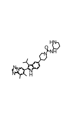 Cc1c(-c2[nH]c3ccc(C4CCN(C(=O)NC5CCCNC5)CC4)cc3c2C(C)C)cn2ncnc2c1C